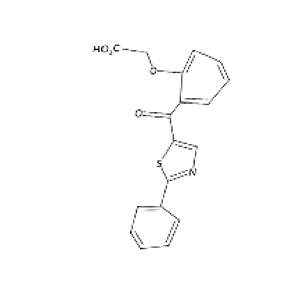 O=C(O)COc1ccccc1C(=O)c1cnc(-c2ccccc2)s1